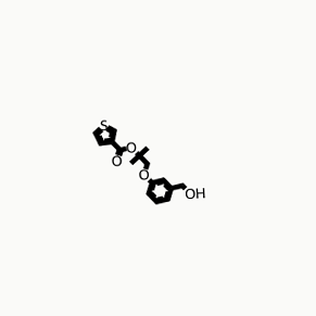 CC(C)(COc1cccc(CO)c1)OC(=O)c1ccsc1